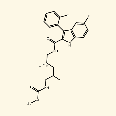 CC(CNC(=O)OC(C)(C)C)C[C@H](C)CNC(=O)c1[nH]c2ccc(F)cc2c1-c1ccccc1Cl